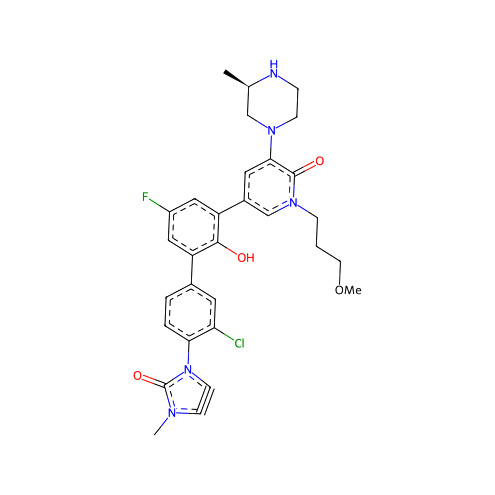 COCCCn1cc(-c2cc(F)cc(-c3ccc(-n4c#cn(C)c4=O)c(Cl)c3)c2O)cc(N2CCN[C@H](C)C2)c1=O